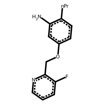 CCCc1ccc(OCc2ncccc2F)cc1N